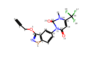 C#CCOc1nsc2ccc(-n3c(=O)cc(C(F)(F)F)n(C)c3=O)cc12